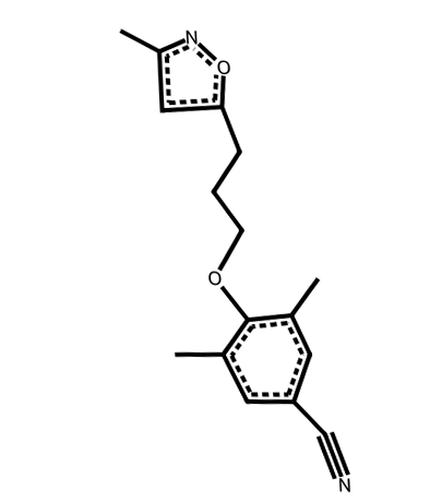 Cc1cc(CCCOc2c(C)cc(C#N)cc2C)on1